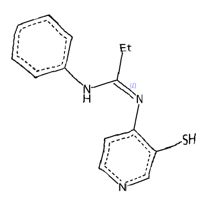 CC/C(=N/c1ccncc1S)Nc1ccccc1